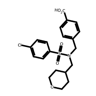 O=C(O)c1ccc(CN(CC2CCOCC2)S(=O)(=O)c2ccc(Cl)cc2)cc1